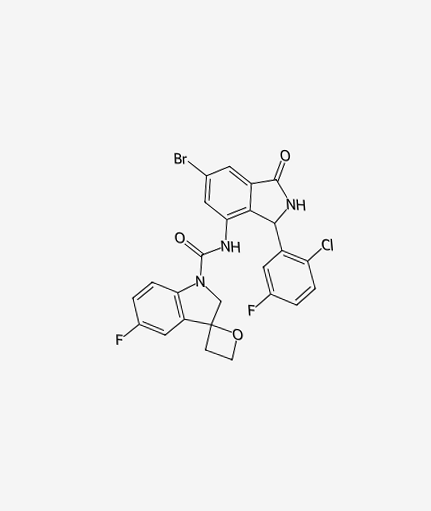 O=C1NC(c2cc(F)ccc2Cl)c2c(NC(=O)N3CC4(CCO4)c4cc(F)ccc43)cc(Br)cc21